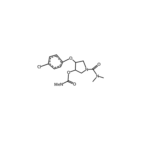 CNC(=O)OC1CN(C(=O)N(C)C)CC1Oc1ccc(Cl)cc1